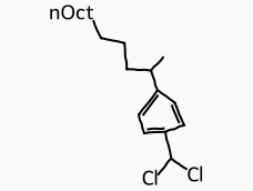 CCCCCCCCCCCC(C)c1ccc(C(Cl)Cl)cc1